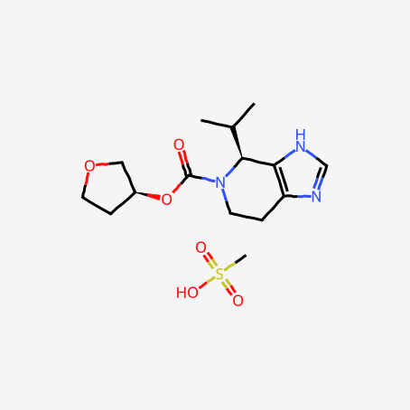 CC(C)[C@H]1c2[nH]cnc2CCN1C(=O)O[C@H]1CCOC1.CS(=O)(=O)O